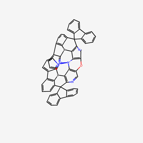 c1ccc2c(c1)-c1ccccc1C21c2cccc3c2B2c4c1ncc1c4[N+]4(c5c(cnc6c5B5c7c(cccc7C67c6ccccc6-c6ccccc67)-c6ccc[n+]4c65)O1)[n+]1cccc-3c12